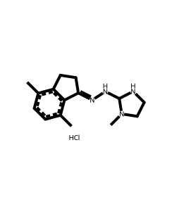 Cc1ccc(C)c2c1CCC2=NNC1NCCN1C.Cl